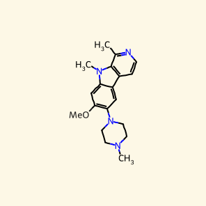 COc1cc2c(cc1N1CCN(C)CC1)c1ccnc(C)c1n2C